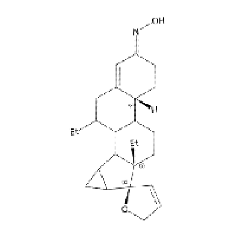 CCC1CC2=CC(=NO)CC[C@@H]2C2CC[C@@]3(CC)C(C4CC4[C@@]34C=CCO4)C12